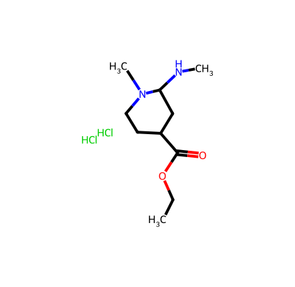 CCOC(=O)C1CCN(C)C(NC)C1.Cl.Cl